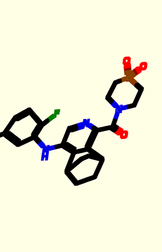 Cc1ccc(F)c(Nc2cnc(C(=O)N3CCS(=O)(=O)CC3)c3c2C2CCC3CC2)c1